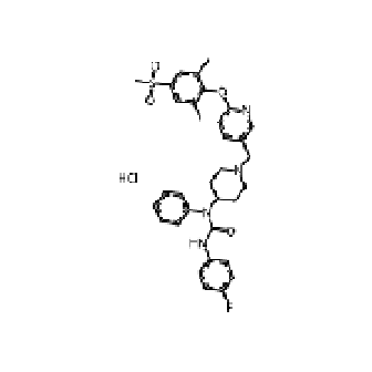 Cc1cc(S(C)(=O)=O)cc(C)c1Oc1ccc(CN2CCC(N(C(=O)Nc3ccc(F)cc3)c3ccccc3)CC2)cn1.Cl